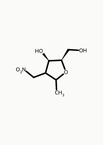 CC1O[C@H](CO)[C@H](O)C1C[N+](=O)[O-]